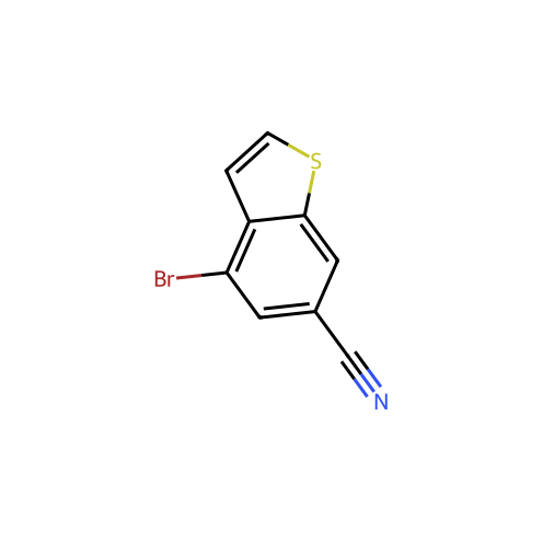 N#Cc1cc(Br)c2ccsc2c1